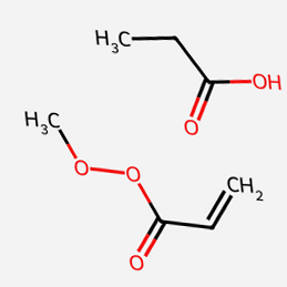 C=CC(=O)OOC.CCC(=O)O